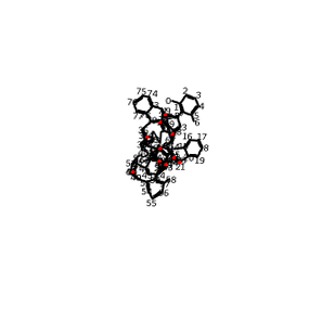 Cc1cccc(C)c1-c1cc2c3c(c1)[Si]1(c4ccccc4-c4ccccc41)c1cc4cc5c1N3c1c3cc(cc1[Si]51c5ccccc5-c5cc(ccc51)-c1cccc(C)c1-4)-c1c(C)cccc1-c1ccc4c(c1)-c1ccccc1C423